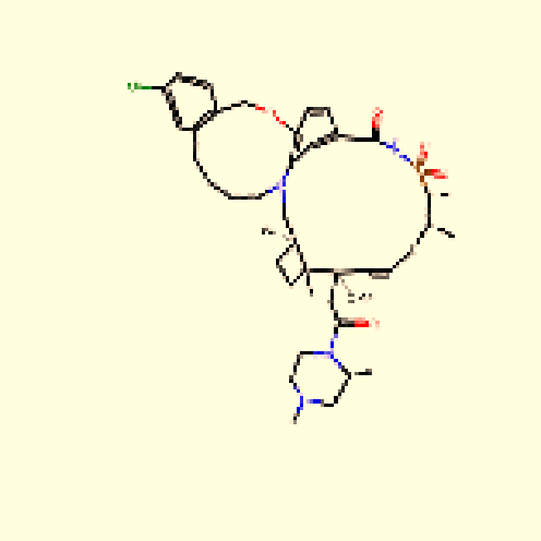 CO[C@@]1(CC(=O)N2CCN(C)C[C@@H]2C)/C=C/C[C@H](C)[C@@H](C)S(=O)(=O)NC(=O)c2ccc3c(c2)N(CCCCc2cc(Cl)ccc2CO3)C[C@@H]2CC[C@H]21